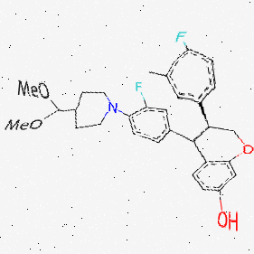 COC(OC)C1CCN(c2ccc(C3c4ccc(O)cc4OC[C@@H]3c3ccc(F)c(C)c3)cc2F)CC1